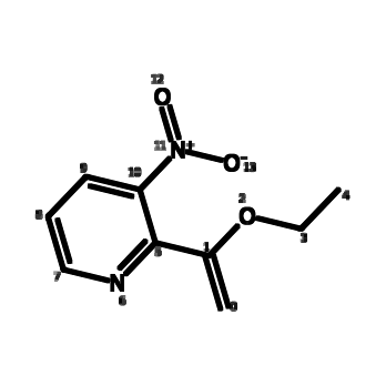 C=C(OCC)c1ncccc1[N+](=O)[O-]